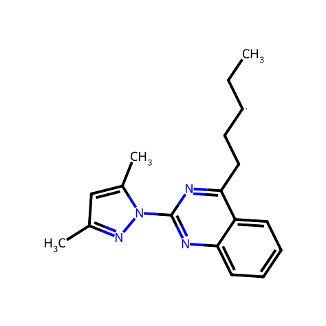 CC[CH]CCc1nc(-n2nc(C)cc2C)nc2ccccc12